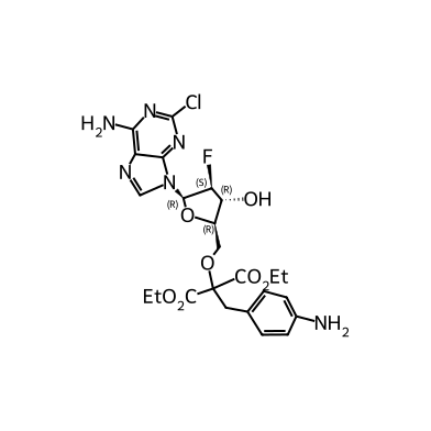 CCOC(=O)C(Cc1ccc(N)cc1)(OC[C@H]1O[C@@H](n2cnc3c(N)nc(Cl)nc32)[C@@H](F)[C@@H]1O)C(=O)OCC